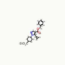 CCOC(=O)C1CCC(n2ncc(C(=O)OCc3ccccc3)c2C2CC2)CC1